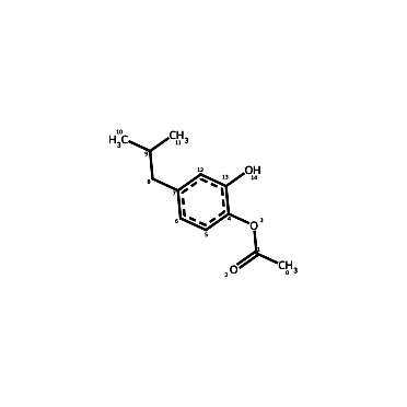 CC(=O)Oc1ccc(CC(C)C)cc1O